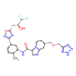 Cc1ccc(-c2noc(C[C@H](O)C(F)F)n2)cc1NC(=O)c1cnc2cc(COCc3nn[nH]n3)ccn12